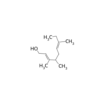 CCC(C)=CCC(C)C(C)=CCO